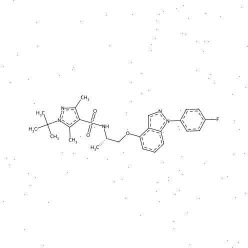 Cc1nn(C(C)(C)C)c(C)c1S(=O)(=O)N[C@@H](C)COc1cccc2c1cnn2-c1ccc(F)cc1